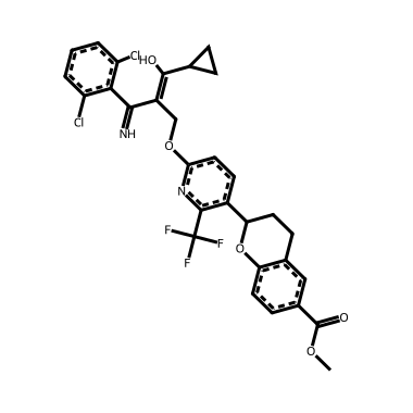 COC(=O)c1ccc2c(c1)CCC(c1ccc(OC/C(C(=N)c3c(Cl)cccc3Cl)=C(/O)C3CC3)nc1C(F)(F)F)O2